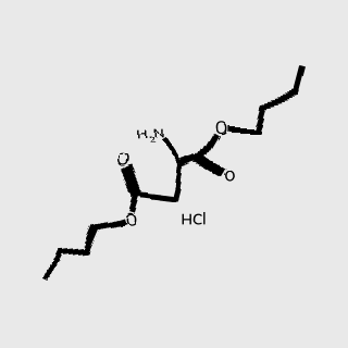 CCCCOC(=O)CC(N)C(=O)OCCCC.Cl